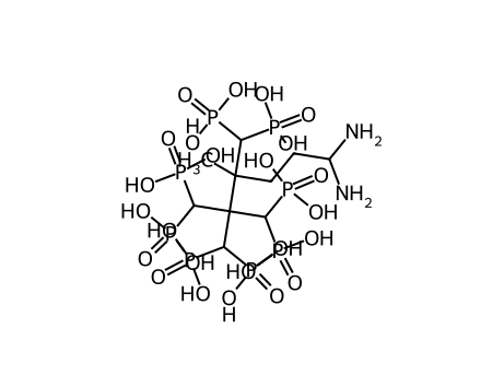 CC(CCC(N)N)(C(P(=O)(O)O)P(=O)(O)O)C(C(P(=O)(O)O)P(=O)(O)O)(C(P(=O)(O)O)P(=O)(O)O)C(P(=O)(O)O)P(=O)(O)O